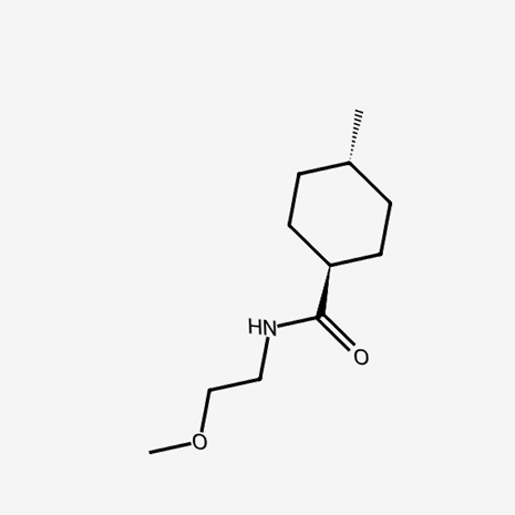 COCCNC(=O)[C@H]1CC[C@H](C)CC1